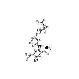 C=CC(=C)N1CC1(F)NCCc1cccc(Nc2nc(C3CC3)c(CC)nc2C(=C)N)c1